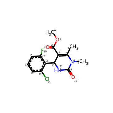 COC(=O)C1=C(C)N(C)C(=O)NC1c1c(F)cccc1Cl